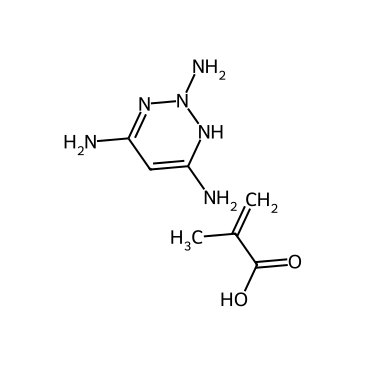 C=C(C)C(=O)O.NC1=CC(N)=NN(N)N1